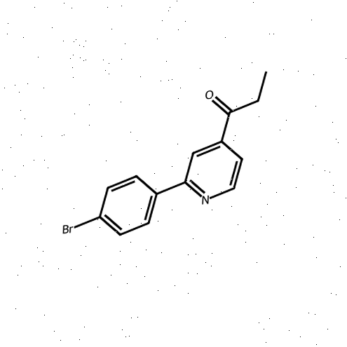 CCC(=O)c1ccnc(-c2ccc(Br)cc2)c1